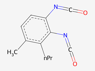 CCCc1c(C)ccc(N=C=O)c1N=C=O